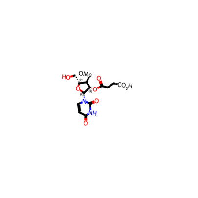 COC1[C@@H](CO)O[C@@H](n2ccc(=O)[nH]c2=O)[C@H]1OC(=O)CCC(=O)O